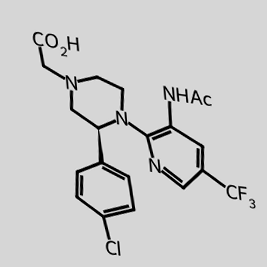 CC(=O)Nc1cc(C(F)(F)F)cnc1N1CCN(CC(=O)O)C[C@@H]1c1ccc(Cl)cc1